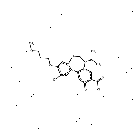 COCCCOc1cc2c(cc1Cl)-c1cc(=O)c(C(=O)O)cn1[C@H](C(C)C)CO2